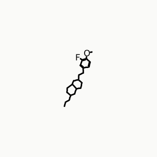 CCCC1CCC2CC(CCc3ccc(OC)c(F)c3)CCC2C1